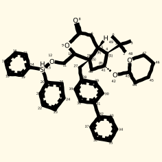 CC(C)(C)[C@@H]1[C@H]2CC(=O)OC(CO[SiH](c3ccccc3)c3ccccc3)[C@@]2(Cc2ccc(-c3ccccc3)cc2)C[C@H]1OC1CCCCO1